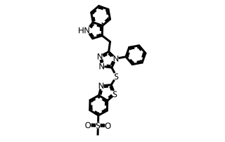 CS(=O)(=O)c1ccc2nc(Sc3nnc(Cc4c[nH]c5ccccc45)n3-c3ccccc3)sc2c1